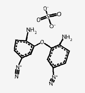 N#[N+]c1ccc(N)c(Oc2cc([N+]#N)ccc2N)c1.O=S(=O)([O-])[O-]